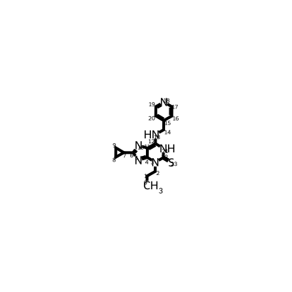 CCCn1c2nc(C3CC3)nc-2c(NCc2ccncc2)[nH]c1=S